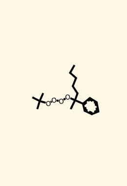 CCCCCC(C)(OOOOC(C)(C)C)c1ccccc1